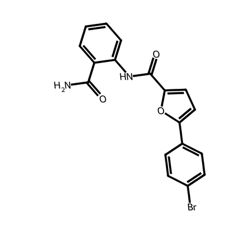 NC(=O)c1ccccc1NC(=O)c1ccc(-c2ccc(Br)cc2)o1